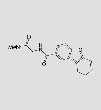 CNC(=O)CNC(=O)c1ccc2oc3c(c2c1)CCC=C3